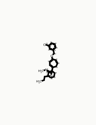 CCCN1/C(=N\C)C2(C3=CC=C(OCc4cccc(Cl)c4)C=CC3)CCC1CC2